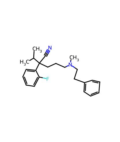 CC(C)C(C#N)(CCCN(C)CCc1ccccc1)c1ccccc1F